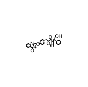 CCOC(Cc1ccc(OCc2nc3ccccc3c(=O)n2C)cc1)C(=O)NC(CO)c1ccccc1